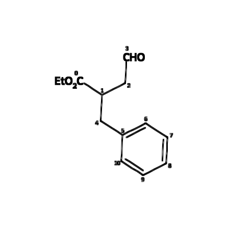 CCOC(=O)C(CC=O)Cc1ccccc1